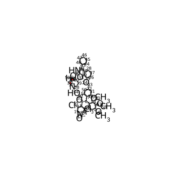 COc1ccc(C(Cc2c(Cl)c[n+]([O-])cc2Cl)c2c(OC)cc(COc3cccc([C@@H](NC(=O)O[C@H]4CN5CCC4CC5)c4ccccc4)c3)cc2C(=O)O)cc1OC